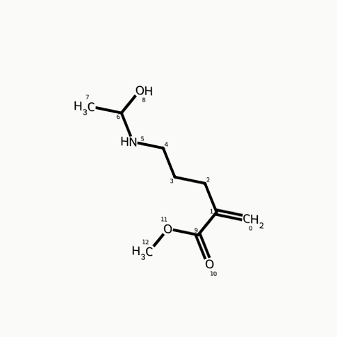 C=C(CCCNC(C)O)C(=O)OC